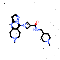 CN1CCc2nc3ccnn3c(N3CC(C(=O)NCC4CCN(C)CC4)C3)c2CC1